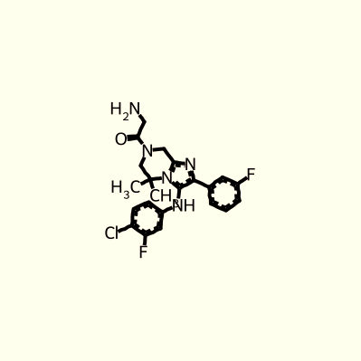 CC1(C)CN(C(=O)CN)Cc2nc(-c3cccc(F)c3)c(Nc3ccc(Cl)c(F)c3)n21